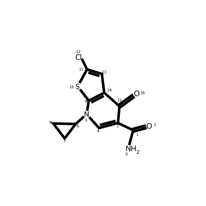 NC(=O)c1cn(C2CC2)c2sc(Cl)cc2c1=O